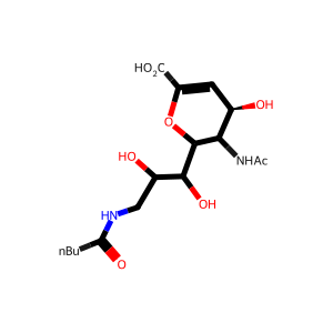 CCCCC(=O)NCC(O)C(O)C1OC(C(=O)O)=C[C@@H](O)C1NC(C)=O